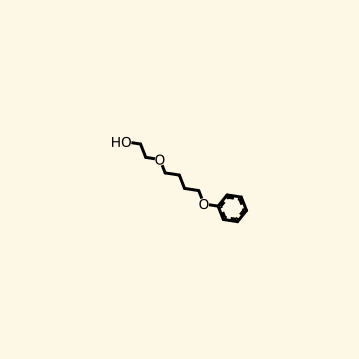 OCCOCCCCOc1ccccc1